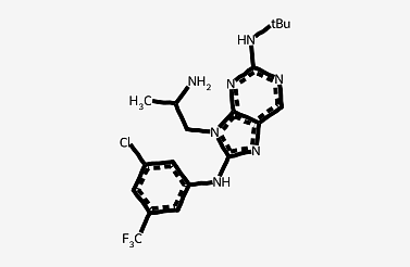 CC(N)Cn1c(Nc2cc(Cl)cc(C(F)(F)F)c2)nc2cnc(NC(C)(C)C)nc21